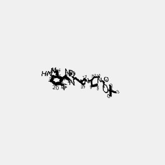 CC(C)(C)OC(=O)N1CCC(N2CC(c3nc(-c4c(F)ccc5[nH]ncc45)no3)C2)CC1